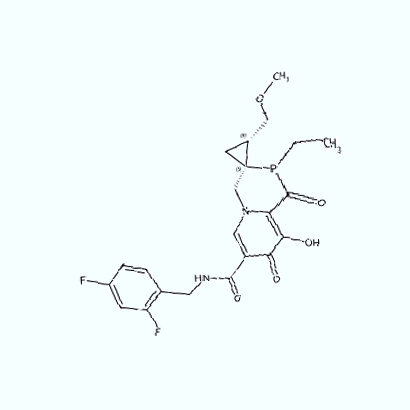 CCP1C(=O)c2c(O)c(=O)c(C(=O)NCc3ccc(F)cc3F)cn2C[C@@]12C[C@@H]2COC